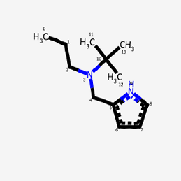 CCCN(Cc1ccc[nH]1)C(C)(C)C